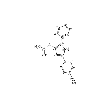 C[S+]([O-])Cc1nc(-c2ccc(C#N)cc2)[nH]c1-c1ccccc1